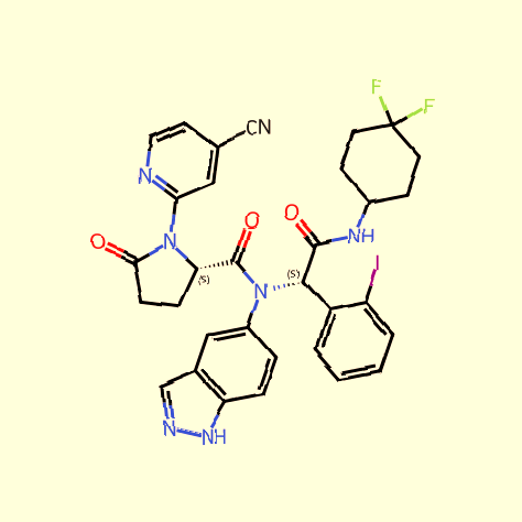 N#Cc1ccnc(N2C(=O)CC[C@H]2C(=O)N(c2ccc3[nH]ncc3c2)[C@H](C(=O)NC2CCC(F)(F)CC2)c2ccccc2I)c1